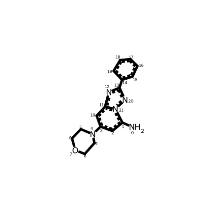 Nc1cc(N2CCOCC2)cc2nc(-c3ccccc3)nn12